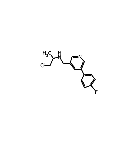 CC(CCl)NCc1cncc(-c2ccc(F)cc2)c1